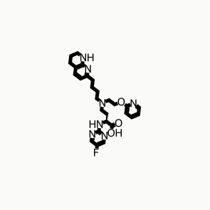 O=C(O)[C@H](CCN(CCCCc1ccc2c(n1)NCCC2)CCOc1ccccn1)Nc1ncc(F)cn1